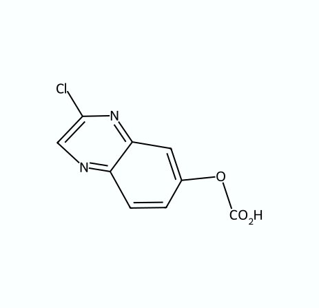 O=C(O)Oc1ccc2ncc(Cl)nc2c1